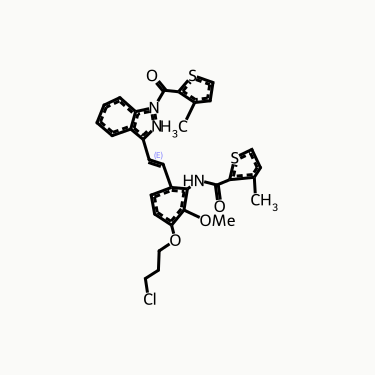 COc1c(OCCCCl)ccc(/C=C/c2nn(C(=O)c3sccc3C)c3ccccc23)c1NC(=O)c1sccc1C